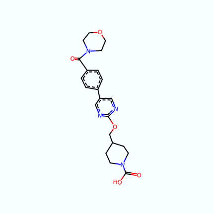 O=C(O)N1CCC(COc2ncc(-c3ccc(C(=O)N4CCOCC4)cc3)cn2)CC1